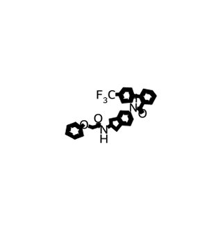 O=C(COc1ccccc1)NC1Cc2ccc(NC(=O)c3ccccc3-c3ccc(C(F)(F)F)cc3)cc2C1